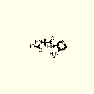 CC(C)(NC(=O)O)C(=O)Nc1cnccc1N